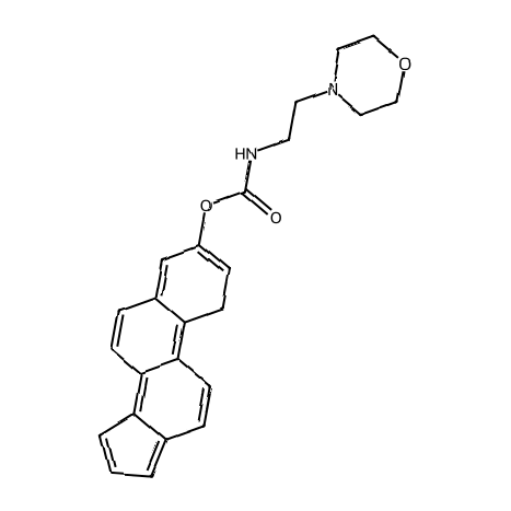 O=C(NCCN1CCOCC1)OC1=CCc2c(ccc3c4c(ccc23)=CC=C4)=C1